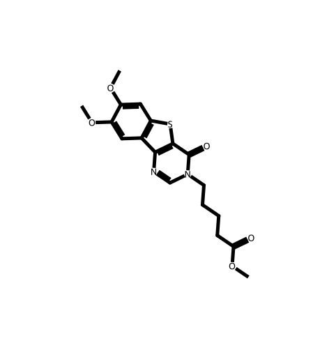 COC(=O)CCCCn1cnc2c(sc3cc(OC)c(OC)cc32)c1=O